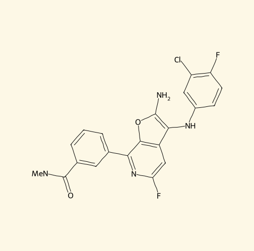 CNC(=O)c1cccc(-c2nc(F)cc3c(Nc4ccc(F)c(Cl)c4)c(N)oc23)c1